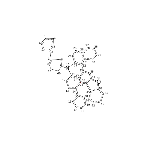 C1=C(c2ccccc2)C=C(N(c2ccc(-c3ccccc3)cc2)c2ccc3ccccc3c2-c2ccc3c(c2)oc2ccccc23)CC1